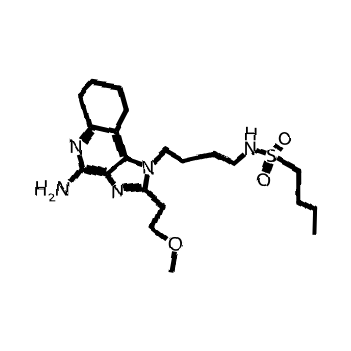 CCCCS(=O)(=O)NCCCCn1c(CCOC)nc2c(N)nc3c(c21)CCCC3